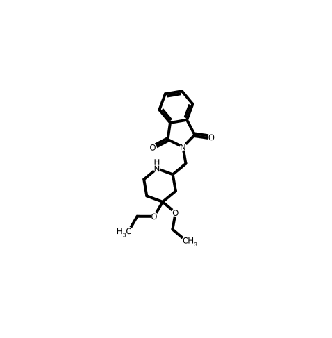 CCOC1(OCC)CCNC(CN2C(=O)c3ccccc3C2=O)C1